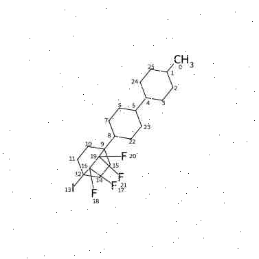 CC1CCC(C2CCC(C34CCC(I)(CC3)C(F)(F)C4(F)F)CC2)CC1